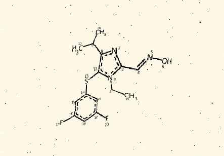 CCn1c(C=NO)nc(C(C)C)c1Sc1cc(F)cc(F)c1